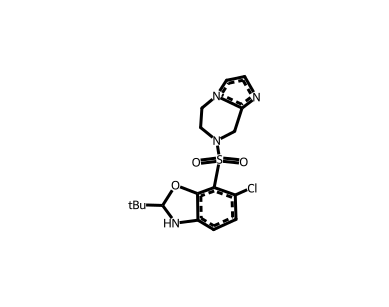 CC(C)(C)C1Nc2ccc(Cl)c(S(=O)(=O)N3CCn4ccnc4C3)c2O1